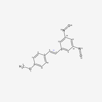 COc1ccc(/C=C/c2cc(N=O)cc(N=O)c2)cc1